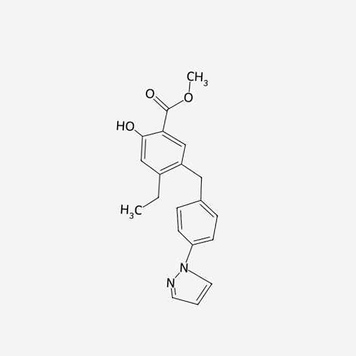 CCc1cc(O)c(C(=O)OC)cc1Cc1ccc(-n2cccn2)cc1